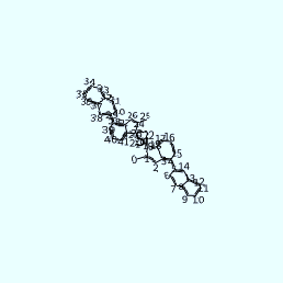 CC1=Cc2c(-c3ccc4ccccc4c3)cccc2C1[Si](C)(C)C1C(C)=Cc2c(-c3ccc4ccccc4c3)cccc21